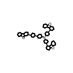 c1ccc2c(c1)oc1cc(-c3ccc(-c4ccc(N(c5ccc(-c6cccc7oc8ccccc8c67)cc5)c5ccc(-c6cccc7oc8ccccc8c67)cc5)cc4)cc3)ccc12